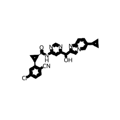 N#Cc1ccc(Cl)cc1[C@H]1C[C@@H]1C(=O)Nc1cc(C(O)c2cn3cc(C4CC4)ccc3n2)ncn1